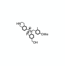 COc1ccc(CN(c2ccc(CO)cc2F)S(=O)(=O)c2ccc3c(c2)CCNC3)c(C)c1